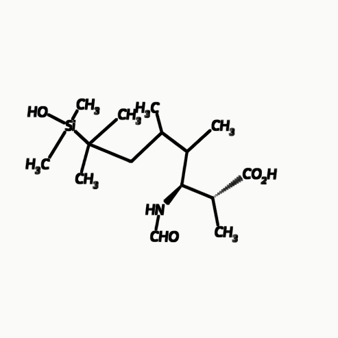 CC(CC(C)(C)[Si](C)(C)O)C(C)[C@H](NC=O)[C@@H](C)C(=O)O